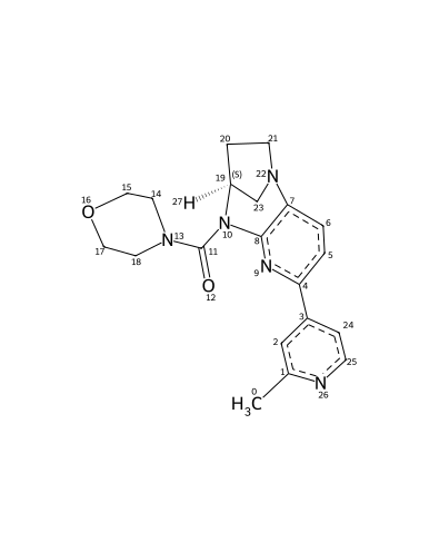 Cc1cc(-c2ccc3c(n2)N(C(=O)N2CCOCC2)[C@H]2CCN3C2)ccn1